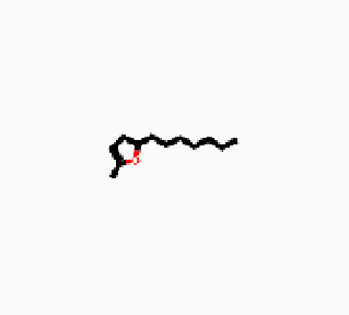 CCCCCCCC1CC=C(C)O1